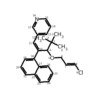 CC(C)(C)C(OC/C=C/Cl)/C(=C\c1cccnc1)c1cccc2ccccc12